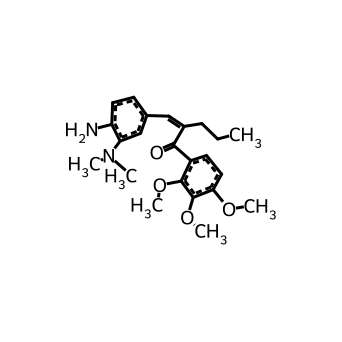 CCCC(=Cc1ccc(N)c(N(C)C)c1)C(=O)c1ccc(OC)c(OC)c1OC